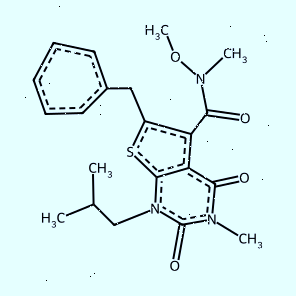 CON(C)C(=O)c1c(Cc2ccccc2)sc2c1c(=O)n(C)c(=O)n2CC(C)C